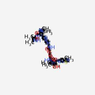 Cc1cc(C)c(CNC(=O)c2cc(-c3ccc(N4CCN(CCNC(=O)COCCOCC(=O)NC(C(=O)N5C[C@H](O)C[C@H]5C(=O)NCc5ccc(-c6scnc6C)cc5)C(C)(C)C)CC4)nc3)cc3c2cnn3C(C)C)c(=O)[nH]1